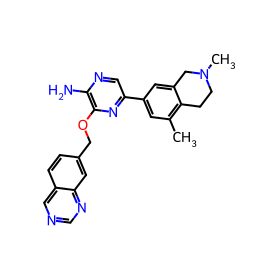 Cc1cc(-c2cnc(N)c(OCc3ccc4cncnc4c3)n2)cc2c1CCN(C)C2